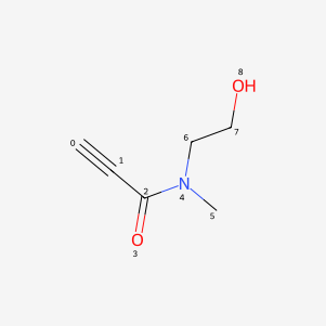 C#CC(=O)N(C)CCO